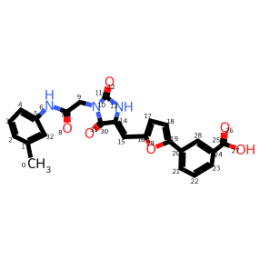 Cc1cccc(NC(=O)CN2C(=O)N/C(=C\c3ccc(-c4cccc(C(=O)O)c4)o3)C2=O)c1